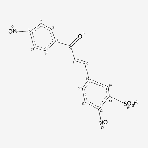 O=Nc1ccc(C(=O)/C=C/c2ccc(N=O)c(S(=O)(=O)O)c2)cc1